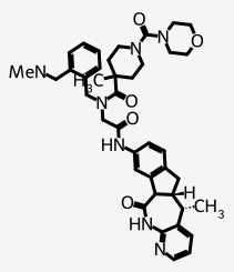 CNCc1ccccc1CN(CC(=O)Nc1ccc2c(c1)C1C(=O)Nc3ncccc3[C@@H](C)[C@H]1C2)C(=O)C1(C)CCN(C(=O)N2CCOCC2)CC1